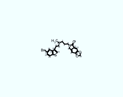 CN(CCCN1Cc2cc3c(cc2C1=O)OCO3)CCc1csc2ccc(Br)cc12